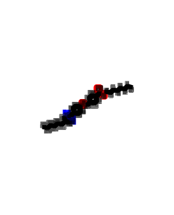 CCCCCCCCOC(=O)c1ccc(COc2ccc(-c3ncc(CCCCCC)cn3)cc2)cc1